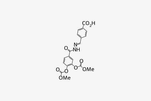 COC(=O)Oc1ccc(C(=O)NN=Cc2ccc(C(=O)O)cc2)cc1OC(=O)OC